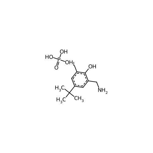 CC(C)(C)c1cc(I)c(O)c(CN)c1.O=P(O)(O)O